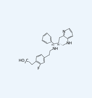 O=C(O)Cc1ccc(CCN[C@H](c2ccccc2)[C@H]2CNc3cccnc3C2)cc1F